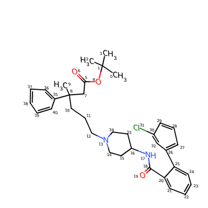 CC(C)(C)OC(=O)CC(C)(CCCN1CCC(NC(=O)c2ccccc2-c2cccc(Cl)c2)CC1)c1ccccc1